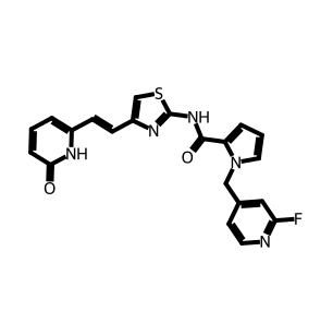 O=C(Nc1nc(C=Cc2cccc(=O)[nH]2)cs1)c1cccn1Cc1ccnc(F)c1